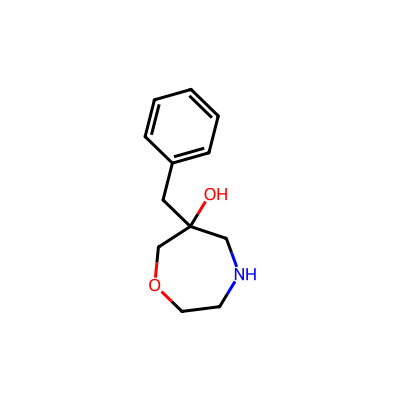 OC1(Cc2ccccc2)CNCCOC1